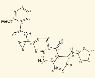 COc1ccccc1C(=O)NC1(c2ccc(C(=N)c3c(N)ncnc3NC3CCCC3)cc2)CC1